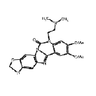 COc1cc2c(cc1OC)n(CCN(C)C)c(=O)n1c3cc4c(cc3nc21)OCO4